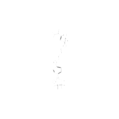 CC(C)C(C)c1cc(OCCCCOc2ccc(B3OC(C)(C)C(C)(C)O3)cc2)no1